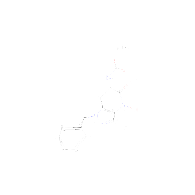 CC(C)(C)OC(=O)N[C@H]1Cc2c(c(C(F)(F)F)nn2Cc2ccccc2)N(O)C1=O